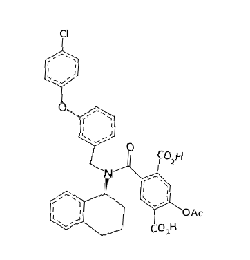 CC(=O)Oc1cc(C(=O)O)c(C(=O)N(Cc2cccc(Oc3ccc(Cl)cc3)c2)[C@H]2CCCc3ccccc32)cc1C(=O)O